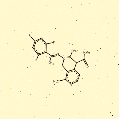 CNC(=O)C(NOC)c1cccc(C)c1CO/N=C(\C)c1c(F)cc(F)cc1F